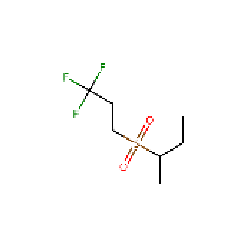 CCC(C)S(=O)(=O)CCC(F)(F)F